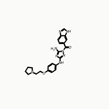 Nc1nc(Nc2ccc(OCCN3CCCC3)cc2)nn1C(=O)c1ccc2nc[nH]c2c1